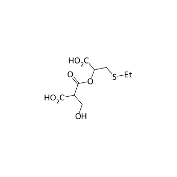 CCSCC(OC(=O)C(CO)C(=O)O)C(=O)O